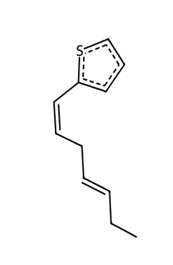 CC/C=C/C/C=C\c1cccs1